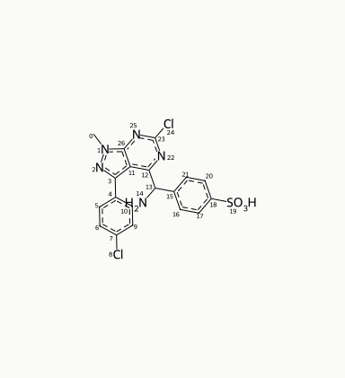 Cn1nc(-c2ccc(Cl)cc2)c2c(C(N)c3ccc(S(=O)(=O)O)cc3)nc(Cl)nc21